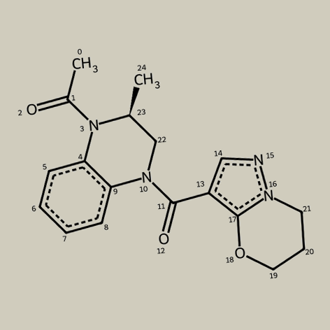 CC(=O)N1c2ccccc2N(C(=O)c2cnn3c2OCCC3)C[C@@H]1C